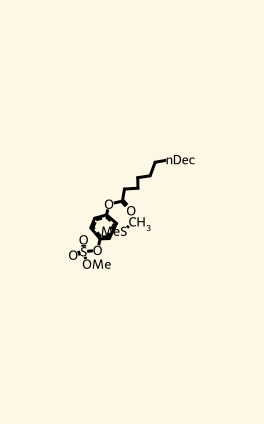 CCCCCCCCCCCCCCCC(=O)Oc1ccc(OS(=O)(=O)OC)cc1.CSC